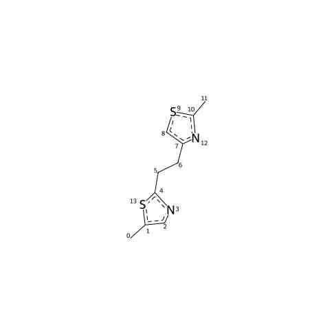 Cc1cnc(CCc2csc(C)n2)s1